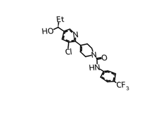 CC[C@H](O)c1cnc(C2=CCN(C(=O)Nc3ccc(C(F)(F)F)cc3)CC2)c(Cl)c1